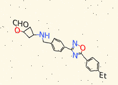 CCc1ccc(-c2nc(-c3ccc(CNC4CC(OC=O)C4)cc3)no2)cc1